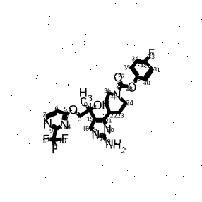 CC(O)(COc1ccnc(C(F)(F)F)n1)c1cnc(N)nc1C1CCN(C(=O)Oc2ccc(F)cc2)CC1